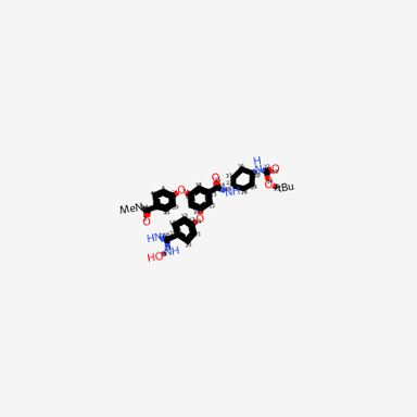 CNC(=O)c1ccc(Oc2cc(Oc3ccc(C(=N)NO)cc3)cc(C(=O)NC3CCC(NC(=O)OC(C)(C)C)CC3)c2)cc1